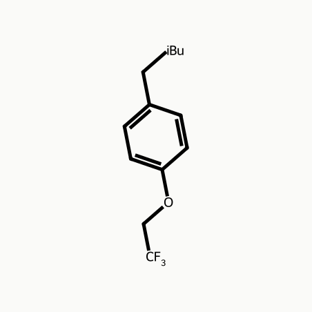 CCC(C)Cc1ccc(OCC(F)(F)F)cc1